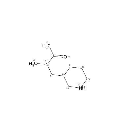 CC(=O)N(C)CC1CCCNC1